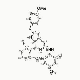 COc1ccc(Cn2cc3nc(Nc4ccc(C(F)(F)F)cc4Cl)nc(-c4c(F)cccc4OC)c3n2)cc1